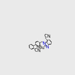 CCCCc1nc2cccc(CC#N)c2n1Cc1ccc(-c2ccccc2C#N)cc1